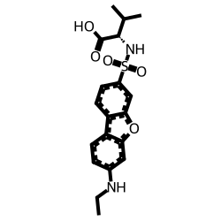 CCNc1ccc2c(c1)oc1cc(S(=O)(=O)N[C@H](C(=O)O)C(C)C)ccc12